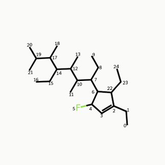 CCC1=CC(F)C(C(CC)C(C)C(C)C(CC)C(C)C(C)C)C1CC